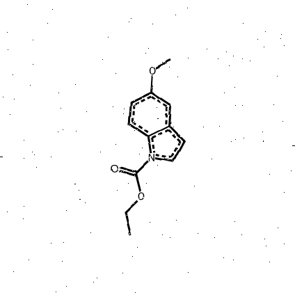 CCOC(=O)n1ccc2cc(OC)ccc21